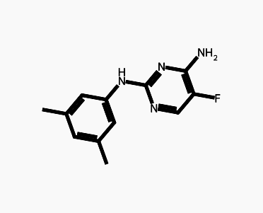 Cc1cc(C)cc(Nc2ncc(F)c(N)n2)c1